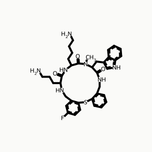 CN1C(=O)C(CCCCN)NC(=O)C(CCCN)NCc2cc(F)ccc2Sc2ccccc2CNC(=O)C1Cc1c[nH]c2ccccc12